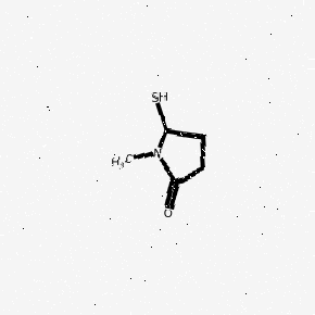 CN1C(=O)CCC1S